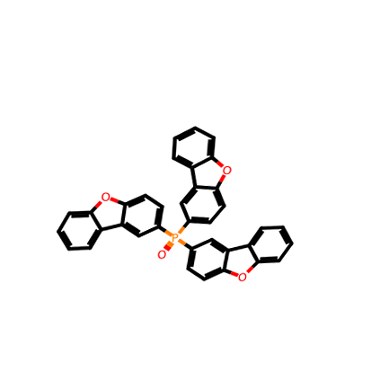 O=P(c1ccc2oc3ccccc3c2c1)(c1ccc2oc3ccccc3c2c1)c1ccc2oc3ccccc3c2c1